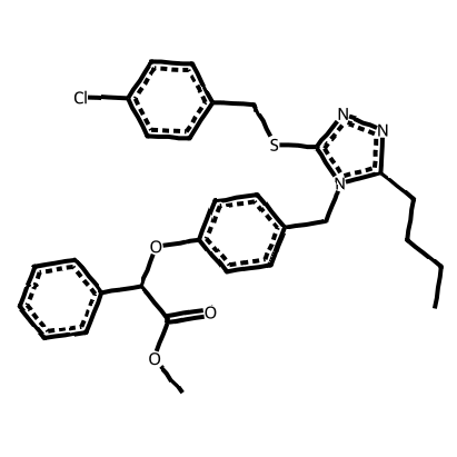 CCCCc1nnc(SCc2ccc(Cl)cc2)n1Cc1ccc(OC(C(=O)OC)c2ccccc2)cc1